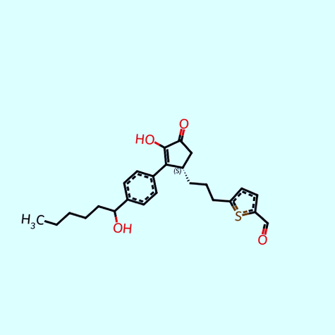 CCCCCC(O)c1ccc(C2=C(O)C(=O)C[C@@H]2CCCc2ccc(C=O)s2)cc1